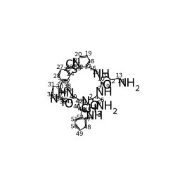 CN1C(=O)[C@H](CN)NC(=O)[C@H](CCCN)NCc2cccnc2Sc2c(Cl)ccc(-c3ccnc(F)c3)c2CNC(=O)[C@@H]1Cc1c[nH]c2ccccc12